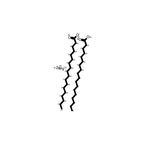 CCCCCCCCCCCCCCCCCC(=O)[O-].CCCCCCCCCCCCCCCCCC(=O)[O-].[Mg+2].[Zn]